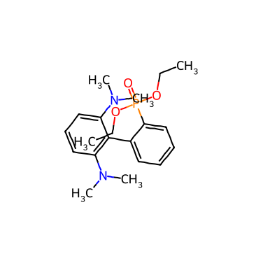 CCOP(=O)(OCC)c1ccccc1-c1c(N(C)C)cccc1N(C)C